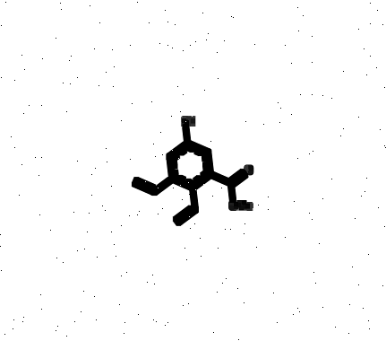 C=Cc1cc(S)cc(C(=O)OC)c1C=C